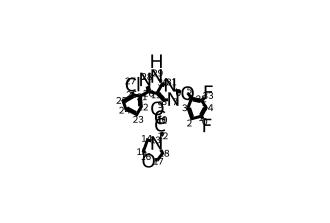 Fc1ccc(Oc2nc(OCCCN3CCOCC3)c3c(-c4ccccc4Cl)n[nH]c3n2)c(F)c1